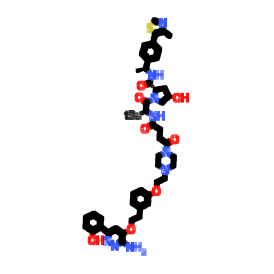 Cc1ncsc1-c1ccc([C@H](C)NC(=O)[C@@H]2C[C@@H](O)CN2C(=O)[C@@H](NC(=O)CCC(=O)N2CCN(CCOc3cccc(CCOc4cc(-c5ccccc5O)nnc4N)c3)CC2)C(C)(C)C)cc1